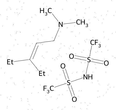 CCC(=CCN(C)C)CC.O=S(=O)(NS(=O)(=O)C(F)(F)F)C(F)(F)F